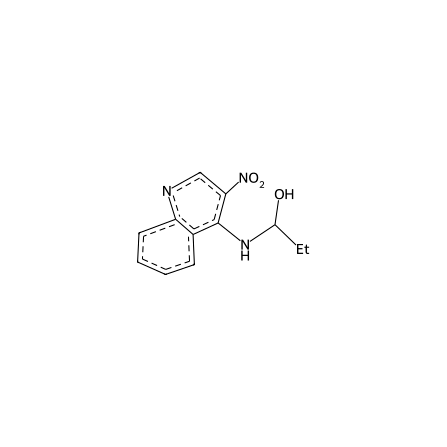 CCC(O)Nc1c([N+](=O)[O-])cnc2ccccc12